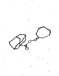 O=C(ON=C1CCCCCC1)C12CC3CC(CC(C3)C1)C2